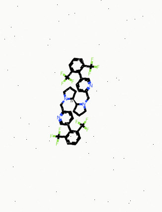 FC(F)(F)c1cccc(C(F)(F)F)c1-c1ccc(CN2CCCC2[C@@H]2CCCN2Cc2ccc(-c3c(C(F)(F)F)cccc3C(F)(F)F)cn2)nc1